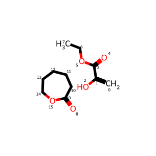 C=C(O)C(=O)OCC.O=C1CCCCCO1